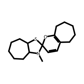 CN1C2CCCCCC2SC12C=CC1=C(CCCCC1)O2